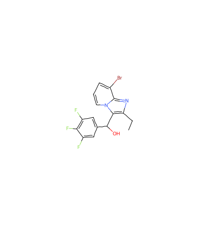 CCc1nc2c(Br)cccn2c1C(O)c1cc(F)c(F)c(F)c1